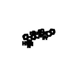 CCCCC(=O)N(Cc1ccc(-c2ccccc2-c2nnn[nH]2)cc1)[C@H](C(=O)N1CCc2ccccc2C1)C(C)C